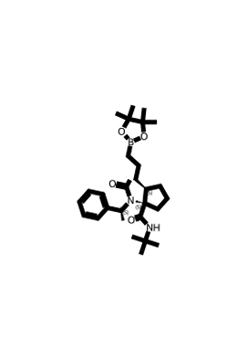 CC(=O)N([C@@H](C)c1ccccc1)[C@@]1(C(=O)NC(C)(C)C)CCC[C@@H]1CCCB1OC(C)(C)C(C)(C)O1